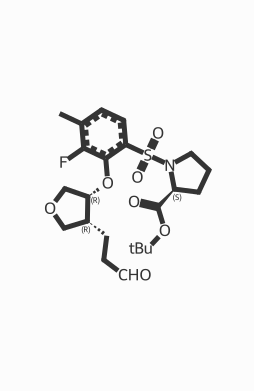 Cc1ccc(S(=O)(=O)N2CCC[C@H]2C(=O)OC(C)(C)C)c(O[C@H]2COC[C@H]2CCC=O)c1F